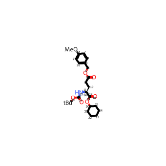 COc1ccc(COC(=O)CC[C@H](NC(=O)OC(C)(C)C)C(=O)OC2CCCCC2)cc1